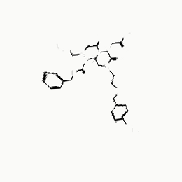 CCN1CC(=O)N2[C@@H](CC(=O)O)C(=O)N(CCOCc3ccc(C)cc3)C[C@@H]2N1C(=O)NCc1ccccc1